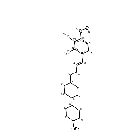 CCC[C@H]1CC[C@H](C2CCC(CC/C=C/c3ccc(OCC)c(F)c3F)CC2)CC1